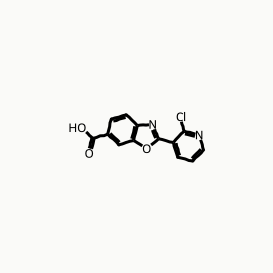 O=C(O)c1ccc2nc(-c3cccnc3Cl)oc2c1